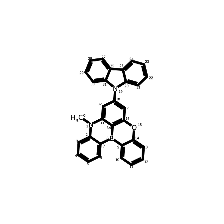 CN1c2ccccc2B2c3ccccc3Oc3cc(-n4c5ccccc5c5ccccc54)cc1c32